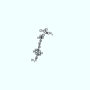 CCOCCNC(=O)C(O)C(O)C(=O)NCCOCCOCCOCCNS(=O)(=O)c1ccc([C@H]2CN(C)Cc3c(Cl)cc(Cl)cc32)cc1